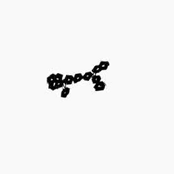 c1ccc(-c2ccc(N(c3ccc(-c4ccc(-c5ccc6c7c8ccc9cccc%10ccc(cc7n(-c7ccccc7)c6c5)c8c%109)cc4)cc3)c3ccc4ccccc4c3)cc2)cc1